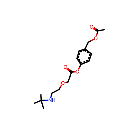 CC(=O)OCc1ccc(OC(=O)COCCNC(C)(C)C)cc1